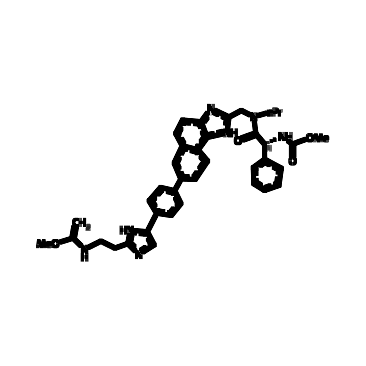 C=C(NCCc1ncc(-c2ccc(-c3ccc4c(ccc5nc(CN(CCC)C(=O)[C@H](NC(=O)OC)c6ccccc6)[nH]c54)c3)cc2)[nH]1)OC